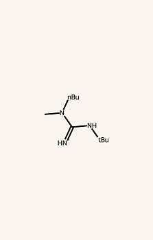 CCCCN(C)C(=N)NC(C)(C)C